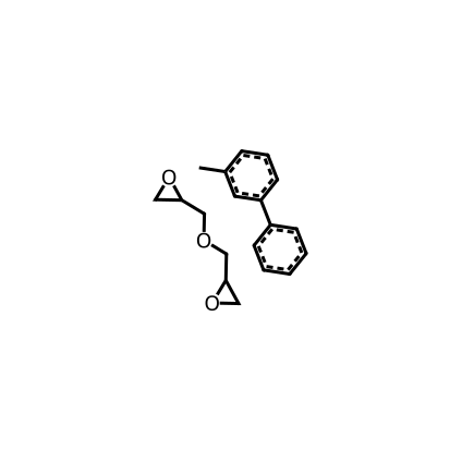 C(OCC1CO1)C1CO1.Cc1cccc(-c2ccccc2)c1